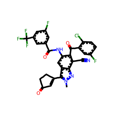 Cn1nc2c(C#N)c(C(=O)c3cc(F)ccc3Cl)c(NC(=O)c3cc(F)cc(C(F)(F)F)c3)cc2c1C1=CC(=O)CC1